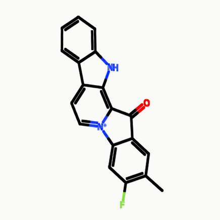 Cc1cc2c(cc1F)-[n+]1ccc3c([nH]c4ccccc43)c1C2=O